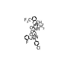 CN(C)[C@@H](Cc1ccccc1C(F)(F)F)C(=O)NC(=O)Cn1nc(-c2ccc(Cl)cc2)n(Cc2ccccc2F)c1=O